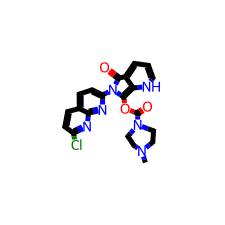 CN1CCN(C(=O)Oc2c3[nH]cccc-3c(=O)n2-c2ccc3ccc(Cl)nc3n2)CC1